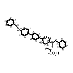 O=C(O)CC[C@H](NC(=O)c1ccc(-c2ccc(OCc3ccccc3)cc2)cc1)C(=O)NCc1ccccc1